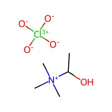 CC(O)[N+](C)(C)C.[O-][Cl+3]([O-])([O-])[O-]